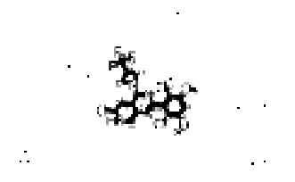 COc1cc(OC)c(Cl)c(-c2cc3c(c(N4CC(C(F)(F)F)C4)n2)=CC(Cl)NC=3)c1Cl